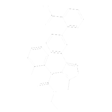 CCOC(=O)N(c1ccccc1Cl)c1c(-c2cccc(-c3ccccc3C(=O)O)c2)noc1C